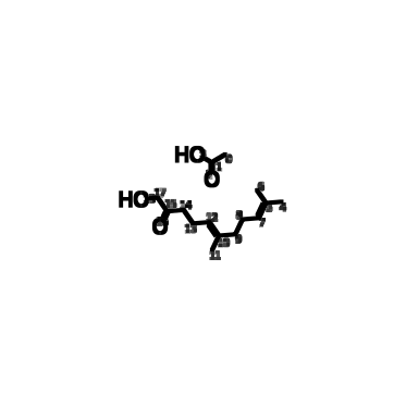 CC(=O)O.CC(C)=CCCC(C)=CCCC(=O)CO